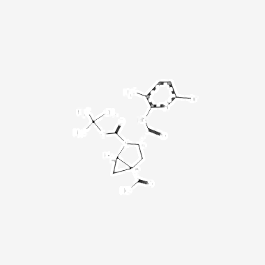 Cc1ccc(Br)nc1NC(=O)[C@@H]1C[C@@]2(C(=O)O)C[C@H]2N1C(=O)OC(C)(C)C